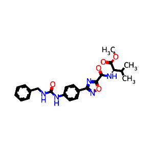 COC(=O)[C@@H](NC(=O)c1nc(-c2ccc(NC(=O)NCc3ccccc3)cc2)no1)C(C)C